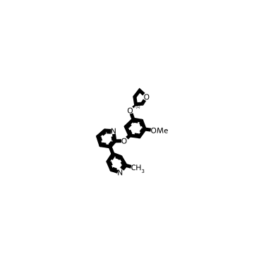 COc1cc(Oc2ncccc2-c2ccnc(C)c2)cc(O[C@H]2CCOC2)c1